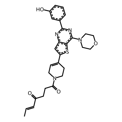 CC=CC(=O)CCC(=O)N1CC=C(c2cc3nc(-c4cccc(O)c4)nc(N4CCOCC4)c3s2)CC1